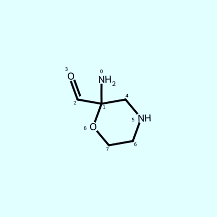 NC1(C=O)CNCCO1